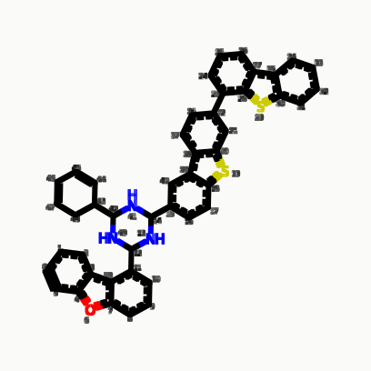 c1ccc2c(c#1)oc1cccc(C3NC(c4ccc5sc6cc(-c7cccc8c7sc7ccccc78)ccc6c5c4)NC(C4C=CC=CC4)N3)c12